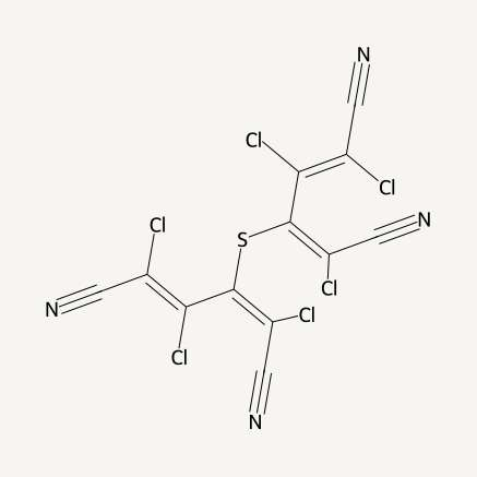 N#CC(Cl)=C(Cl)C(SC(=C(Cl)C#N)C(Cl)=C(Cl)C#N)=C(Cl)C#N